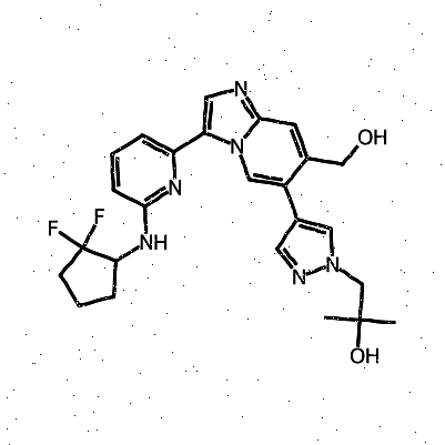 CC(C)(O)Cn1cc(-c2cn3c(-c4cccc(NC5CCCC5(F)F)n4)cnc3cc2CO)cn1